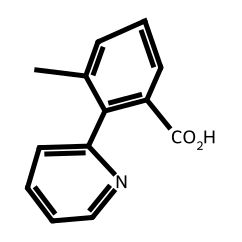 Cc1cccc(C(=O)O)c1-c1ccccn1